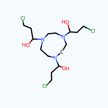 OC(CCCl)N1CCN(C(O)CCCl)CCN(C(O)CCCl)CC1